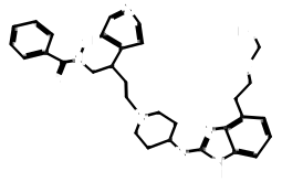 CCOCCc1cccc2[nH]c(NC3CCN(CCC(CN(C)C(=O)c4ccccc4)c4ccncc4)CC3)nc12